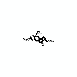 COCn1ncc2c3c(cc(Cl)c21)C[C@@H](CC(=O)OC)C(=O)N(CC(F)(F)F)C3